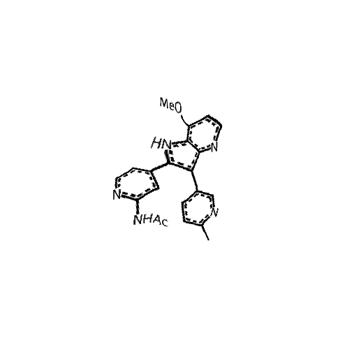 COc1ccnc2c(-c3ccc(C)nc3)c(-c3ccnc(NC(C)=O)c3)[nH]c12